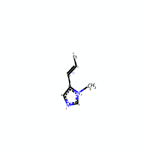 CC/C=C/c1cncn1C